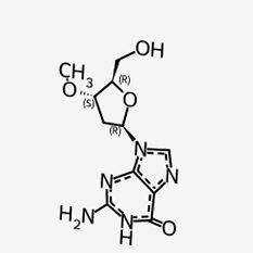 CO[C@H]1C[C@H](n2cnc3c(=O)[nH]c(N)nc32)O[C@@H]1CO